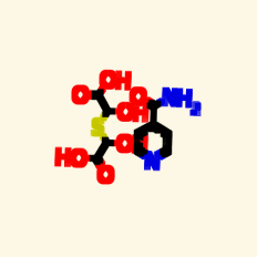 NC(=O)c1ccncc1.O=C(O)C(O)SC(O)C(=O)O